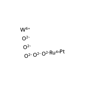 [O-2].[O-2].[O-2].[O-2].[O-2].[Pt].[Ru+4].[W+6]